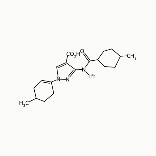 CC1CC=C(n2cc(C(=O)O)c(N(C(=O)C3CCC(C)CC3)C(C)C)n2)CC1